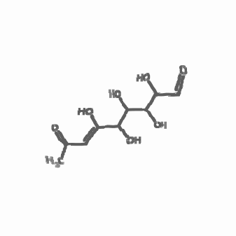 CC(=O)C=C(O)C(O)C(O)C(O)C(O)C=O